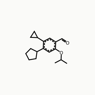 CC(C)Oc1cc(C2CCCC2)c(C2CC2)cc1C=O